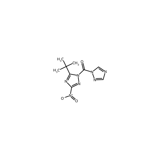 CC(C)(C)c1nc([N+](=O)[O-])nn1C(=O)n1cncn1